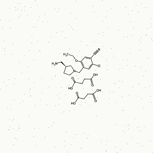 CCOc1cc(C#N)c(Cl)cc1CN1CC[C@@H](CN)C1.O=C(O)CCC(=O)O.O=C(O)CCC(=O)O